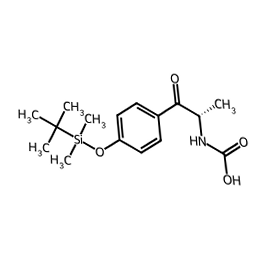 C[C@H](NC(=O)O)C(=O)c1ccc(O[Si](C)(C)C(C)(C)C)cc1